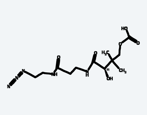 CC(C)(COC(=O)O)[C@@H](O)C(=O)NCCC(=O)NCCN=[N+]=[N-]